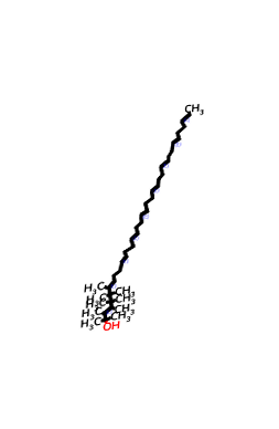 C/C=C/CC/C=C/CC/C=C/CC/C=C/CC/C=C/CC/C=C/CC/C=C/CC/C=C(\C)C(C)(C)C(C)(C)/C(C)=C(\C)C(C)(C)O